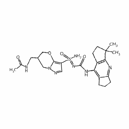 CC(=O)NCC1COc2c(S(N)(=O)=NC(=O)Nc3c4c(nc5c3CCC5(C)C)CCC4)cnn2C1